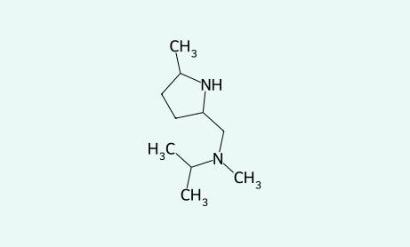 CC1CCC(CN(C)C(C)C)N1